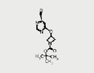 CC(C)(C)OC(=O)N1CC(Oc2cc(C#N)ncn2)C1